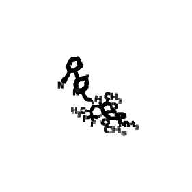 CO[C@H](C(N)=O)[C@@]12CC(F)(F)[C@@H](C)[C@H](/C=C/c3ccc(-c4ccccc4C#N)cn3)[C@@H]1[C@@H](C)OC2=O